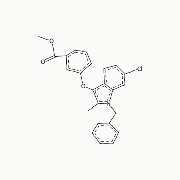 COC(=O)c1cccc(Oc2c(C)n(Cc3ccccc3)c3cc(Cl)ccc23)c1